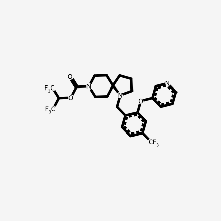 O=C(OC(C(F)(F)F)C(F)(F)F)N1CCC2(CCCN2Cc2ccc(C(F)(F)F)cc2Oc2cccnc2)CC1